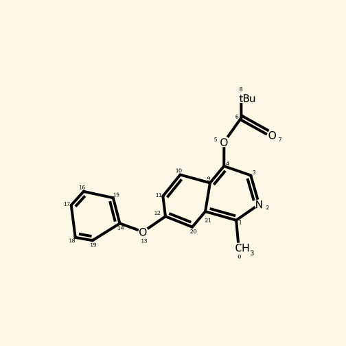 Cc1ncc(OC(=O)C(C)(C)C)c2ccc(Oc3ccccc3)cc12